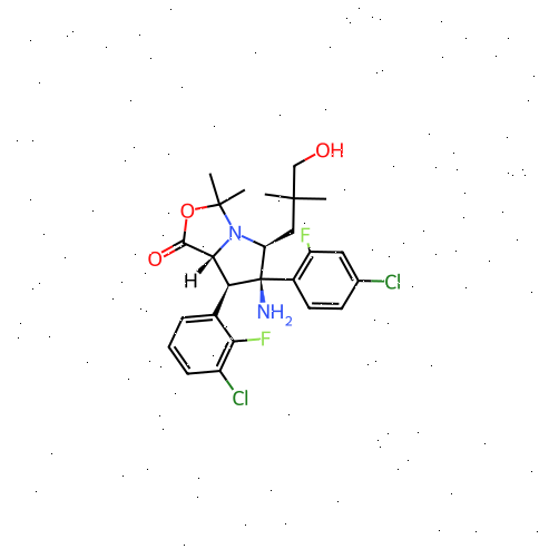 CC(C)(CO)C[C@@H]1N2[C@@H](C(=O)OC2(C)C)[C@H](c2cccc(Cl)c2F)[C@@]1(N)c1ccc(Cl)cc1F